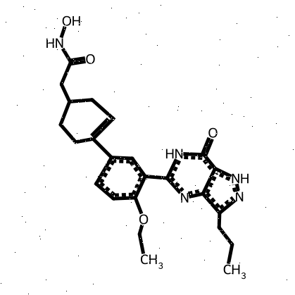 CCCc1n[nH]c2c(=O)[nH]c(-c3cc(C4=CCC(CC(=O)NO)CC4)ccc3OCC)nc12